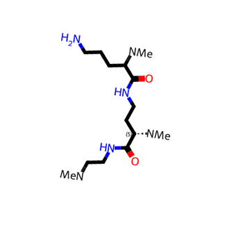 CNCCNC(=O)[C@H](CCNC(=O)C(CCCN)NC)NC